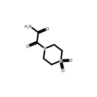 NC(=O)C(=O)N1CCS(=O)(=O)CC1